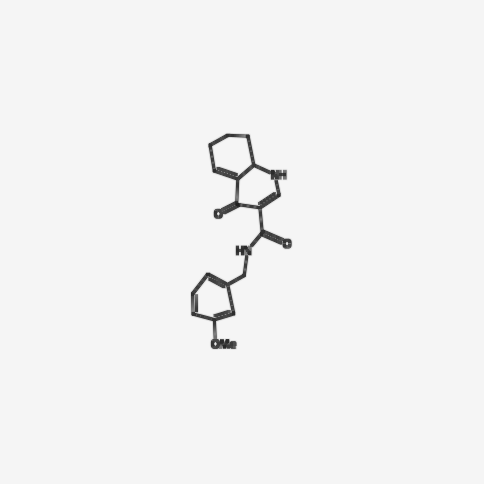 COc1cccc(CNC(=O)C2=CNC3CCCC=C3C2=O)c1